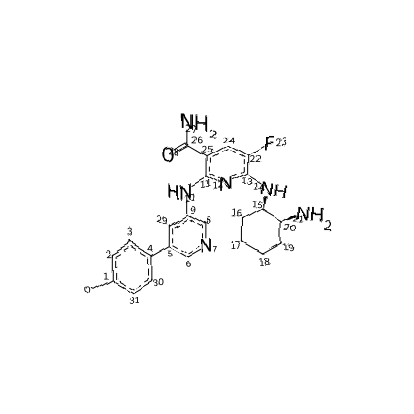 Cc1ccc(-c2cncc(Nc3nc(N[C@@H]4CCCC[C@@H]4N)c(F)cc3C(N)=O)c2)cc1